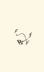 FCCC(F)(F)Br